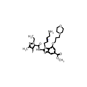 CCn1nc(C)c(F)c1C(=O)Nc1nc2cc(C(=O)OC)cc(OCCCN3CCOCC3)c2n1C/C=C/CN